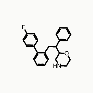 Fc1ccc(-c2ccccc2CC(c2ccccc2)C2CNCCO2)cc1